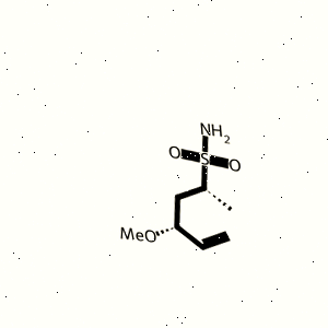 C=C[C@@H](C[C@@H](C)S(N)(=O)=O)OC